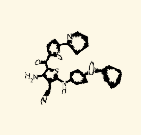 N#Cc1c(Nc2ccc(Oc3ccccc3)cc2)sc(C(=O)c2ccc(-c3ccccn3)s2)c1N